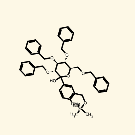 COc1ccc(C2(O)O[C@H](COCc3ccccc3)[C@@H](OCc3ccccc3)[C@H](OCc3ccccc3)[C@H]2OCc2ccccc2)cc1CO[Si](C)(C)C(C)(C)C